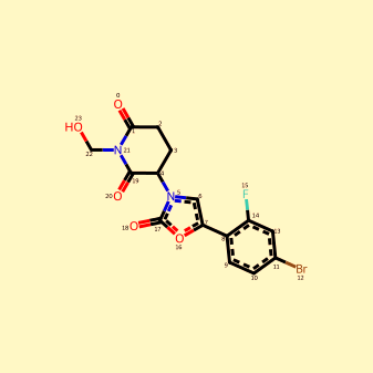 O=C1CCC(n2cc(-c3ccc(Br)cc3F)oc2=O)C(=O)N1CO